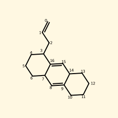 C=CCC1CCCC2C=C3CCCCC3C=C21